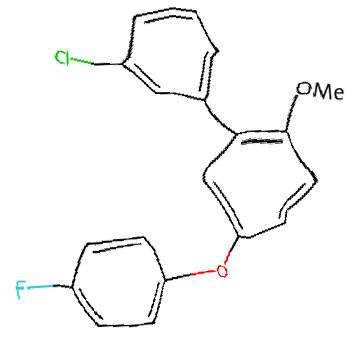 COc1ccc(Oc2ccc(F)cc2)cc1-c1cccc(Cl)c1